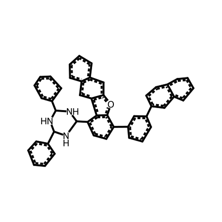 c1ccc(C2NC(c3ccccc3)NC(c3ccc(-c4cccc(-c5ccc6ccccc6c5)c4)c4oc5cc6ccccc6cc5c34)N2)cc1